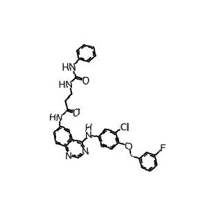 O=C(CCNC(=O)Nc1ccccc1)Nc1ccc2ncnc(Nc3ccc(OCc4cccc(F)c4)c(Cl)c3)c2c1